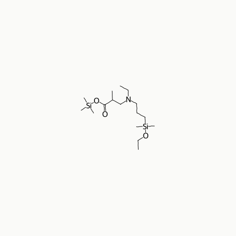 CCO[Si](C)(C)CCCN(CC)CC(C)C(=O)O[Si](C)(C)C